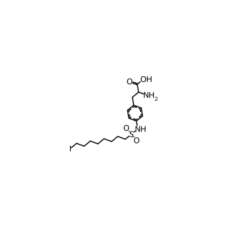 NC(Cc1ccc(NS(=O)(=O)CCCCCCCCI)cc1)C(=O)O